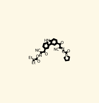 CCN(CC)C(=O)O/N=C(\C#N)C(=O)c1ccc2[nH]c3ccc(C(=O)/C(C#N)=N/OC(=O)N4CCCC4)cc3c2c1